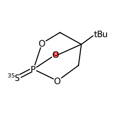 CC(C)(C)C12COP(=[35S])(OC1)OC2